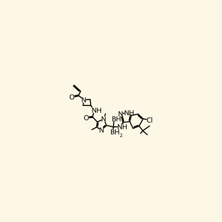 BC(B)(Nc1n[nH]c2cc(Cl)c(C(C)(C)C)cc12)c1nc(C)c(C(=O)NC2CN(C(=O)C=C)C2)n1C